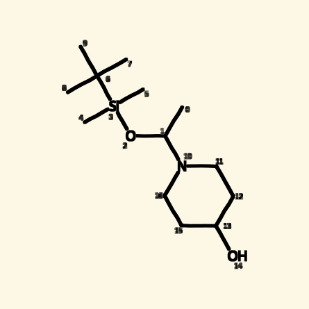 CC(O[Si](C)(C)C(C)(C)C)N1CCC(O)CC1